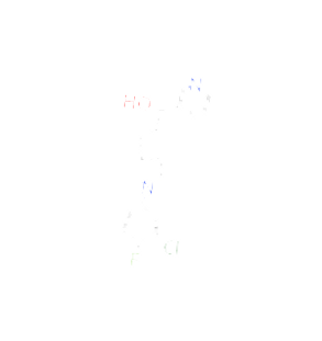 OC(c1cccnc1)C1CC2CN(c3ccc(F)c(Cl)c3)CC2C1